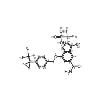 NC(=O)c1cc(OCc2ccc(C3(C(F)(F)F)CC3)cc2)c2sc(C(F)(F)P(=O)(O)O)c(Br)c2c1